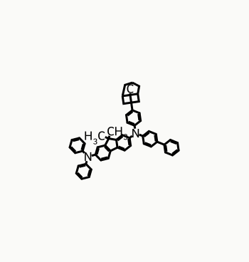 CC1(C)c2cc(N(c3ccccc3)c3ccccc3)ccc2-c2ccc(N(c3ccc(-c4ccccc4)cc3)c3ccc(C45CC6CC7CC(C4)C65C7)cc3)cc21